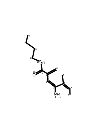 C=C(/C=C(N)\C(C)=C/C)C(=O)NCCCC